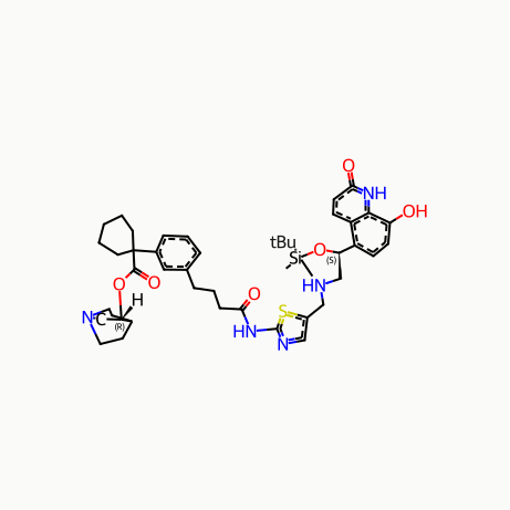 CC(C)(C)[Si](C)(C)O[C@H](CNCc1cnc(NC(=O)CCCc2cccc(C3(C(=O)O[C@H]4CN5CCC4CC5)CCCCC3)c2)s1)c1ccc(O)c2[nH]c(=O)ccc12